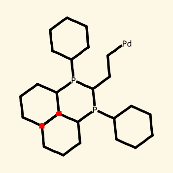 [Pd][CH2]CC(P(C1CCCCC1)C1CCCCC1)P(C1CCCCC1)C1CCCCC1